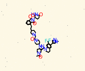 CC(=O)N1CCc2c(c(N3CCCc4cc(-c5cnn(C)c5)c(C(F)F)cc43)nn2C2CCN(C(=O)CN3CCC(CCc4cccc5c4C(=O)N(C4CCC(=O)NC4=O)C5=O)CC3)CC2)C1